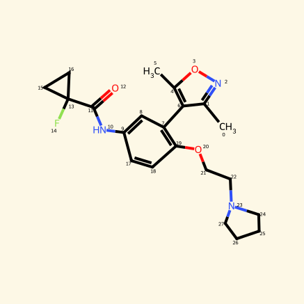 Cc1noc(C)c1-c1cc(NC(=O)C2(F)CC2)ccc1OCCN1CCCC1